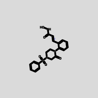 O=C(/C=C/c1ccccc1N1CCN(S(=O)(=O)c2ccccc2)CC1=O)NO